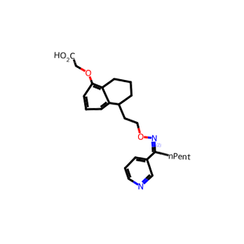 CCCCC/C(=N/OCCC1CCCc2c(OCC(=O)O)cccc21)c1cccnc1